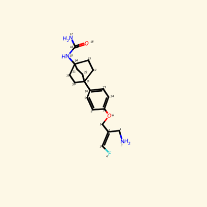 NC/C(=C\F)COc1ccc(C23CCC(NC(N)=O)(CC2)CC3)cc1